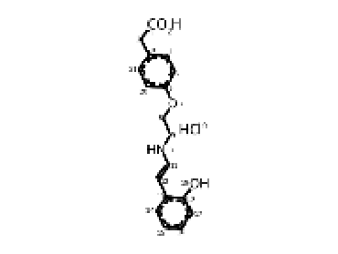 Cl.O=C(O)Cc1ccc(OCCNC=Cc2ccccc2O)cc1